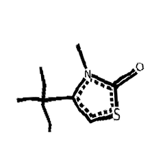 Cn1c(C(C)(C)C)csc1=O